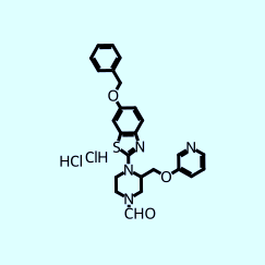 Cl.Cl.O=CN1CCN(c2nc3ccc(OCc4ccccc4)cc3s2)C(COc2cccnc2)C1